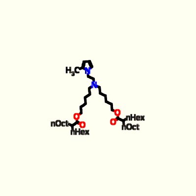 CCCCCCCCC(CCCCCC)C(=O)OCCCCCCN(CCCCCCOC(=O)C(CCCCCC)CCCCCCCC)CCn1cccc1C